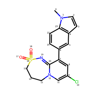 Cn1ccc2cc(C3=CC(Cl)=CN4CCCS(=O)(=O)N=C34)ccc21